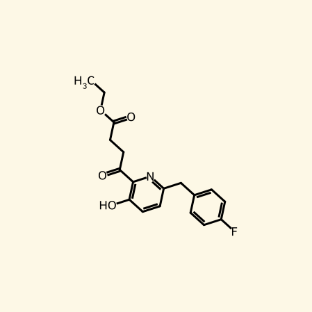 CCOC(=O)CCC(=O)c1nc(Cc2ccc(F)cc2)ccc1O